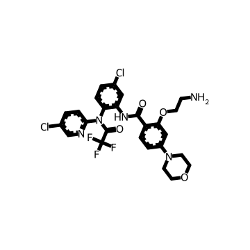 NCCOc1cc(N2CCOCC2)ccc1C(=O)Nc1cc(Cl)ccc1N(C(=O)C(F)(F)F)c1ccc(Cl)cn1